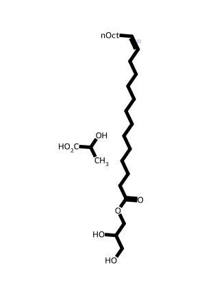 CC(O)C(=O)O.CCCCCCCC/C=C\CCCCCCCCCCCC(=O)OCC(O)CO